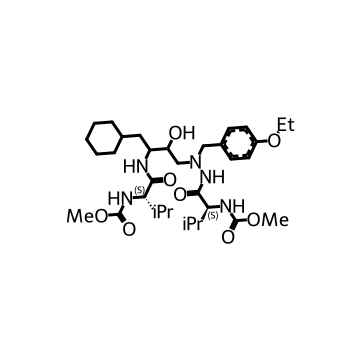 CCOc1ccc(CN(CC(O)C(CC2CCCCC2)NC(=O)[C@@H](NC(=O)OC)C(C)C)NC(=O)[C@@H](NC(=O)OC)C(C)C)cc1